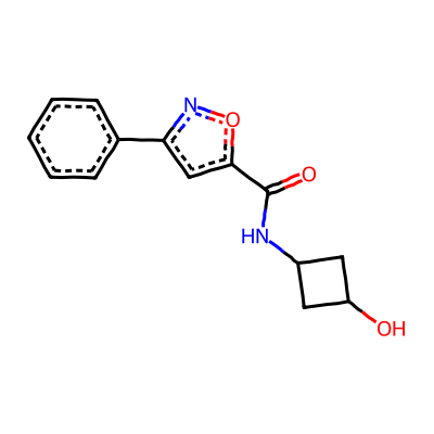 O=C(NC1CC(O)C1)c1cc(-c2ccccc2)no1